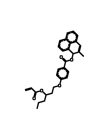 C=CC(=O)OC(CCC)CCOc1ccc(C(=O)OC2C(C)=Cc3cccc4cccc2c34)cc1